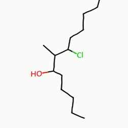 CCCCCC(O)C(C)C(Cl)CCCCC